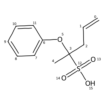 C=CCC(C)(Oc1ccccc1)S(=O)(=O)O